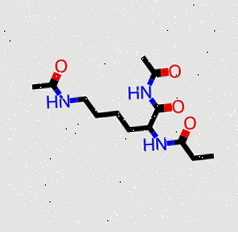 CCC(=O)NC(CCCCNC(C)=O)C(=O)NC(C)=O